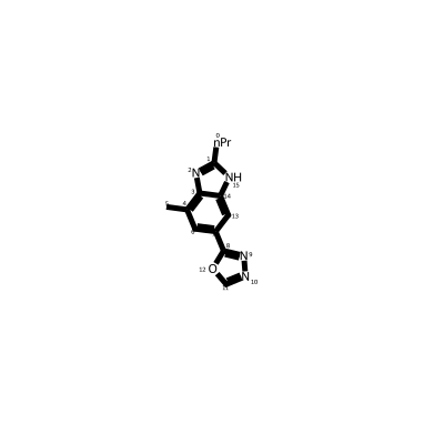 CCCc1nc2c(C)cc(-c3nnco3)cc2[nH]1